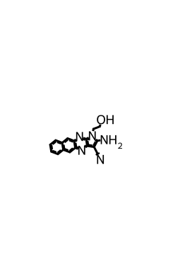 N#Cc1c(N)n(CCO)c2nc3cc4ccccc4cc3nc12